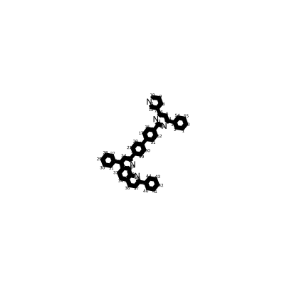 c1ccc(-c2cc(-c3cccnc3)nc(-c3ccc(-c4ccc(-c5cc(-c6ccccc6)c6ccc7ccc(-c8ccccc8)nc7c6n5)cc4)cc3)n2)cc1